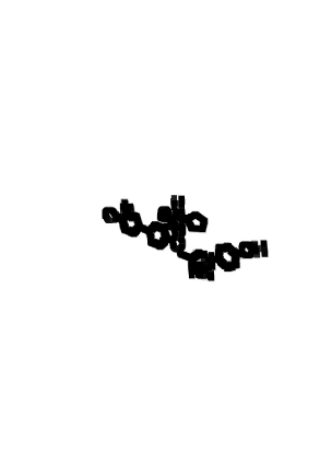 Cn1cc(-c2ccc(OCc3cn(-c4ccc(O)cc4)nn3)c(S(=O)(=O)NC3CCCC3)c2)ccc1=O